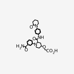 NC(=O)c1cccc(N2CCC(OCC(=O)O)CC2C(=O)Nc2ccc(N3CCCCC3=O)cc2)c1